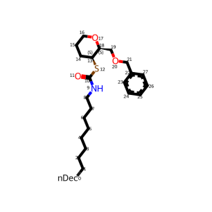 CCCCCCCCCCCCCCCCCCNC(=O)S[C@H]1CCCO[C@H]1COCc1ccccc1